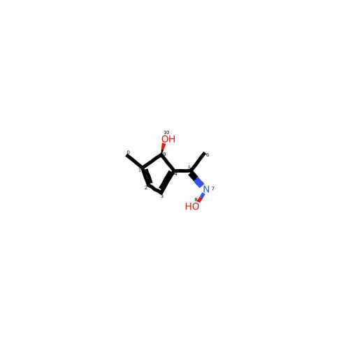 CC1=CC=C(/C(C)=N\O)[C@@H]1O